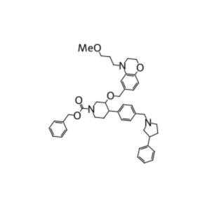 COCCCN1CCOc2ccc(COC3CN(C(=O)OCc4ccccc4)CCC3c3ccc(CN4CCC(c5ccccc5)C4)cc3)cc21